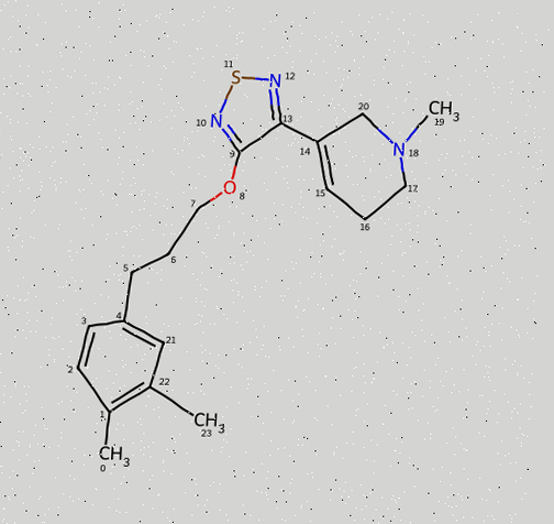 Cc1ccc(CCCOc2nsnc2C2=CCCN(C)C2)cc1C